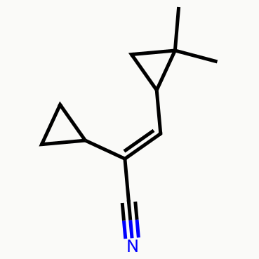 CC1(C)CC1/C=C(/C#N)C1CC1